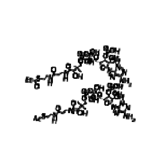 CC(=O)SCCNC(=O)CCNC(=O)[C@H](O)C(C)(C)COP(=O)(O)OP(=O)(O)OC[C@H]1O[C@@H](n2cnc3c(N)ncnc32)[C@H](O)[C@@H]1OP(=O)(O)O.CCC(=O)SCCNC(=O)CCNC(=O)[C@H](O)C(C)(C)COP(=O)(O)OP(=O)(O)OC[C@H]1O[C@@H](n2cnc3c(N)ncnc32)[C@H](O)[C@@H]1OP(=O)(O)O